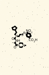 CC(=O)SCCN(CCC1CCCC1)C(=O)N[C@@H](C)C(=O)N1CCN(C)CC1.O=C(O)c1ccc([N+](=O)[O-])cc1